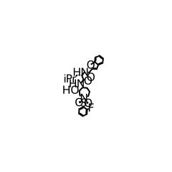 CC(C)C[C@H](NC(=O)c1cc2ccccc2o1)C(=O)NC1CCCN(S(=O)(=O)c2ccccc2F)CC1O